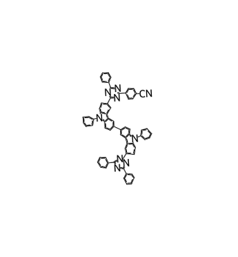 N#Cc1ccc(-c2nc(-c3ccccc3)nc(-c3ccc4c(c3)c3cc(-c5ccc6c(c5)c5cc(-c7nc(-c8ccccc8)nc(-c8ccccc8)n7)ccc5n6-c5ccccc5)ccc3n4-c3ccccc3)n2)cc1